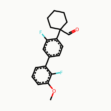 COc1cccc(-c2ccc(C3(C=O)CCCCC3)c(F)c2)c1F